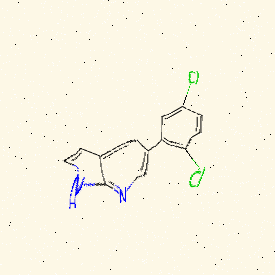 Clc1ccc(Cl)c(-c2cnc3[nH]ccc3c2)c1